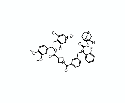 COc1ccc([C@H](Cc2c(Cl)c[n+]([O-])cc2Cl)OC(=O)C2CN(C(=O)c3cccc(CN(C(=O)O[C@H]4CN5CCC4CC5)c4ccccc4F)c3)C2)cc1OC